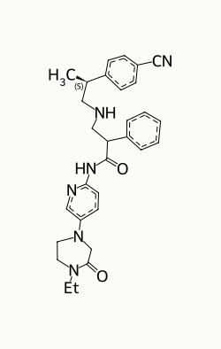 CCN1CCN(c2ccc(NC(=O)C(CNC[C@@H](C)c3ccc(C#N)cc3)c3ccccc3)nc2)CC1=O